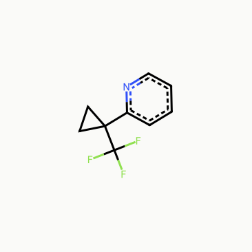 FC(F)(F)C1(c2ccccn2)CC1